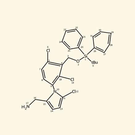 CC(C)(C)[Si](OCc1c(Cl)ccc(-n2c(Cl)ccc2CN)c1Cl)(c1ccccc1)c1ccccc1